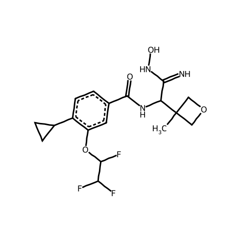 CC1(C(NC(=O)c2ccc(C3CC3)c(OC(F)C(F)F)c2)C(=N)NO)COC1